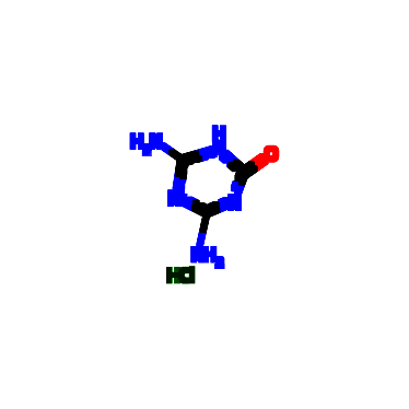 Cl.Nc1nc(N)[nH]c(=O)n1